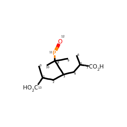 CC(CC(CC(C)C(=O)O)C(C)(C)P=O)C(=O)O